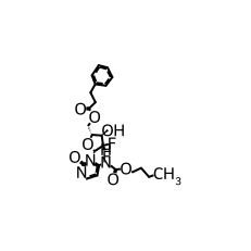 CCCCOC(=O)Nc1ccnc(=O)n1[C@@H]1O[C@H](COC(=O)CCc2ccccc2)[C@@H](O)C1(F)F